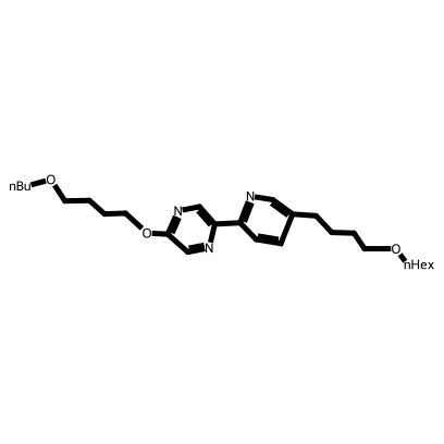 CCCCCCOCCCCc1ccc(-c2cnc(OCCCCOCCCC)cn2)nc1